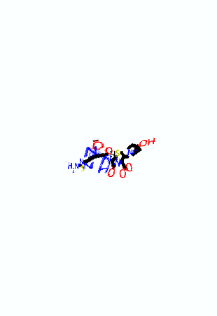 CO/N=C(\C(=O)N[C@@H]1C(=O)N2C(C(=O)[O-])=C(C[N+]34CCC(O)(CC3)C4)CS[C@@H]12)c1nsc(N)n1